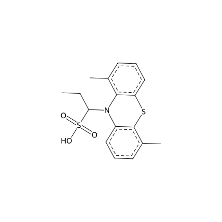 CCC(N1c2cccc(C)c2Sc2cccc(C)c21)S(=O)(=O)O